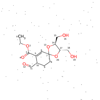 CCOC(=O)C1=CC2(CCC1C=O)O[C@@H](CO)[C@H](CO)O2